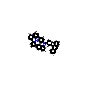 C1=C2c3c4ccccc4cc4cccc(c34)C2CC=C1N(c1ccc2c3ccccc3n(-c3ccccc3-c3ccccc3)c2c1)c1cccc2ccccc12